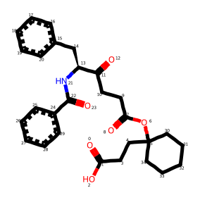 O=C(O)CCC1(OC(=O)CCC(=O)[C@H](Cc2ccccc2)NC(=O)c2ccccc2)CCCCC1